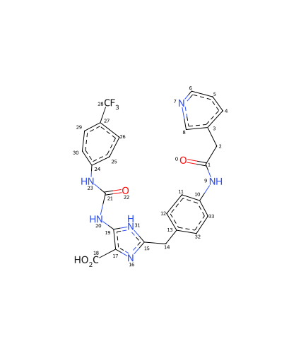 O=C(Cc1cccnc1)Nc1ccc(Cc2nc(C(=O)O)c(NC(=O)Nc3ccc(C(F)(F)F)cc3)[nH]2)cc1